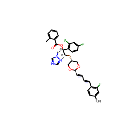 [CH2]c1ccccc1C(=O)O[C@@](Cn1cncn1)(c1ccc(F)cc1F)[C@@H](C)S[C@H]1CO[C@H](/C=C/C=C/c2ccc(C#N)cc2F)OC1